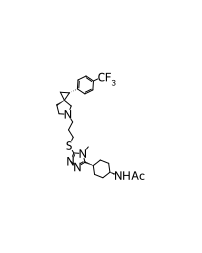 CC(=O)N[C@H]1CC[C@@H](c2nnc(SCCCN3CC[C@]4(C[C@@H]4c4ccc(C(F)(F)F)cc4)C3)n2C)CC1